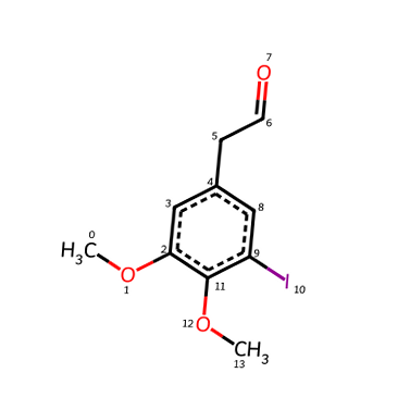 COc1cc(CC=O)cc(I)c1OC